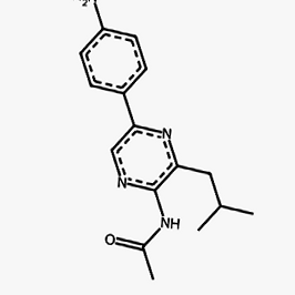 CC(=O)Nc1ncc(-c2ccc(N)cc2)nc1CC(C)C